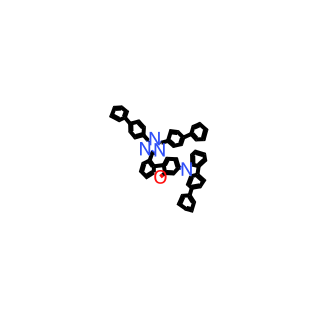 c1ccc(-c2ccc(-c3nc(-c4ccc(-c5ccccc5)cc4)nc(-c4cccc5oc6cc(-n7c8ccccc8c8ccc(-c9ccccc9)cc87)ccc6c45)n3)cc2)cc1